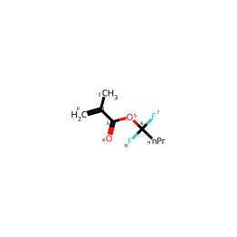 C=C(C)C(=O)OC(F)(F)CCC